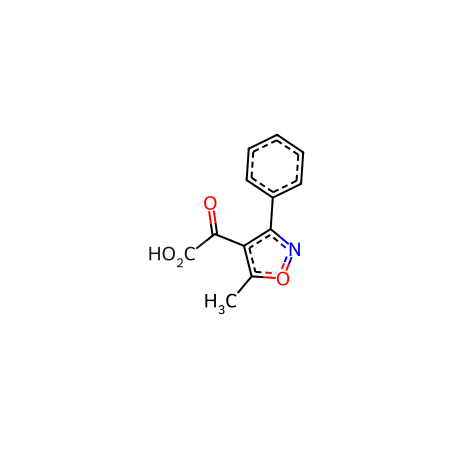 Cc1onc(-c2ccccc2)c1C(=O)C(=O)O